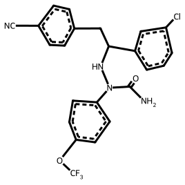 N#Cc1ccc(CC(NN(C(N)=O)c2ccc(OC(F)(F)F)cc2)c2cccc(Cl)c2)cc1